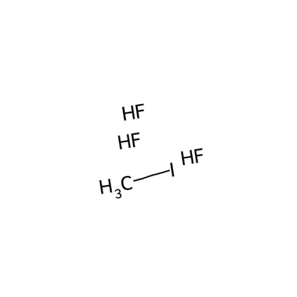 CI.F.F.F